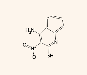 Nc1c([N+](=O)[O-])c(S)nc2ccccc12